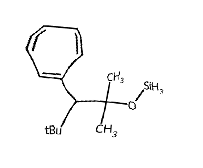 CC(C)(C)C(c1ccccc1)C(C)(C)O[SiH3]